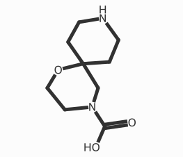 O=C(O)N1CCOC2(CCNCC2)C1